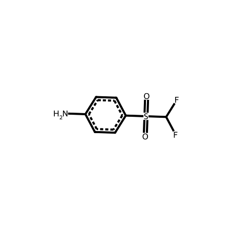 Nc1ccc(S(=O)(=O)C(F)F)cc1